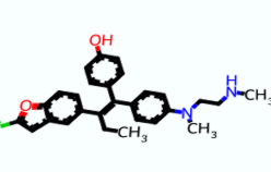 CCC(=C(c1ccc(O)cc1)c1ccc(N(C)CCNC)cc1)c1ccc2oc(Cl)cc2c1